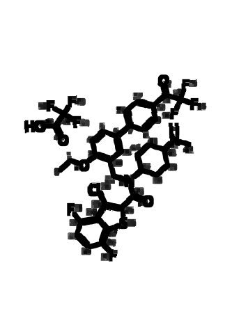 CCOc1ccc(-c2ccc(C(=O)C(F)(F)F)cc2)cc1CN(C(=O)c1sc2c(F)ccc(F)c2c1Cl)C1CCC(NC)CC1.O=C(O)C(F)(F)F